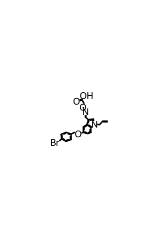 C=CCn1cc(/C=N/OCC(=O)O)c2cc(OCc3ccc(Br)cc3)ccc21